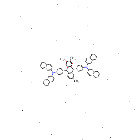 Cc1ccc2c(c1)C1(C3=CCC(N(c4ccc5ccccc5c4)c4ccc5ccccc5c4)C=C3)c3ccc(C)cc3C2(C2C=CC(N(c3ccc4ccccc4c3)c3ccc4ccccc4c3)=CC2)c2cc(C)ccc21